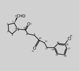 O=C[C@@H]1CCCN1C(=O)CCC(=O)CCc1cccc(Cl)c1